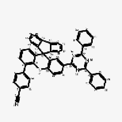 N#Cc1ccc(-c2cccc3c2Sc2ccc(-c4nc(-c5ccccc5)nc(-c5ccccc5)n4)cc2C32c3ccccc3-c3ccccc32)cc1